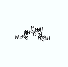 CNC(=O)c1cn(CCNC(=O)c2n[nH]c3c2CN(c2ncnc4[nH]ccc24)CC3)nn1